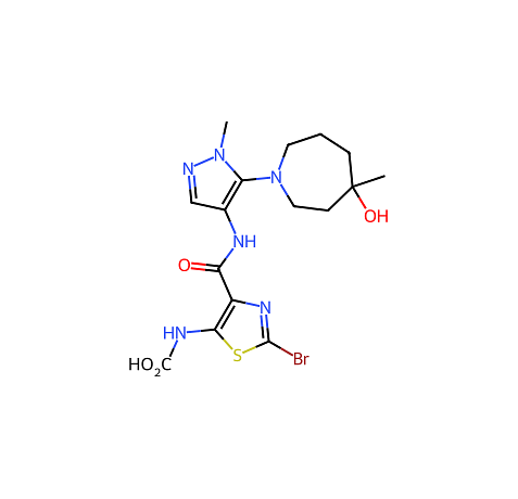 Cn1ncc(NC(=O)c2nc(Br)sc2NC(=O)O)c1N1CCCC(C)(O)CC1